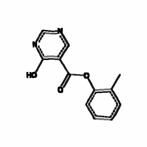 Cc1ccccc1OC(=O)c1cncnc1O